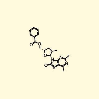 Cc1nc(C)c2sc(=O)n([C@@H]3O[C@H](COC(=O)c4ccccc4)C[C@H]3C)c2n1